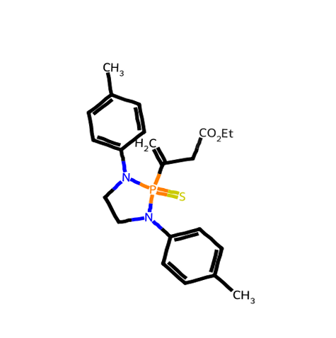 C=C(CC(=O)OCC)P1(=S)N(c2ccc(C)cc2)CCN1c1ccc(C)cc1